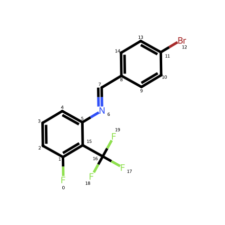 Fc1cccc(/N=C/c2ccc(Br)cc2)c1C(F)(F)F